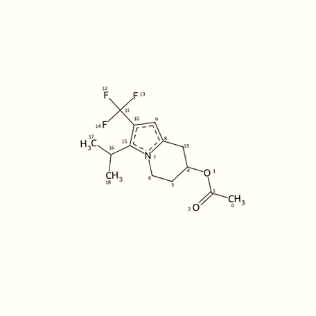 CC(=O)OC1CCn2c(cc(C(F)(F)F)c2C(C)C)C1